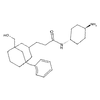 N[C@H]1CC[C@H](NC(=O)CCC2CC3(CO)CCCC(c4ccccc4)(C2)C3)CC1